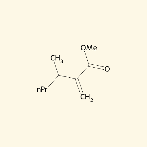 C=C(C(=O)OC)C(C)CCC